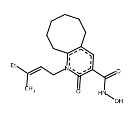 CC/C(C)=C/Cn1c2c(cc(C(=O)NO)c1=O)CCCCCC2